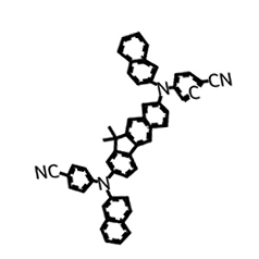 CC1(C)c2cc(N(c3ccc(C#N)cc3)c3ccc4ccccc4c3)ccc2-c2cc3ccc(N(c4ccc(C#N)cc4)c4ccc5ccccc5c4)cc3cc21